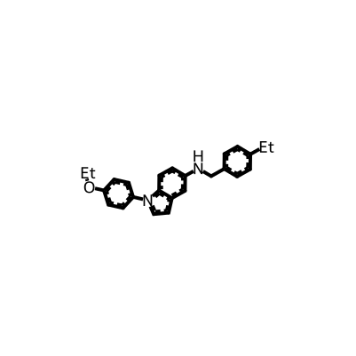 CCOc1ccc(-n2ccc3cc(NCc4ccc(CC)cc4)ccc32)cc1